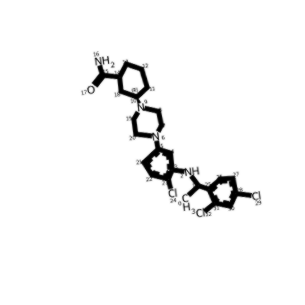 CC(Nc1cc(N2CCN([C@@H]3CCCC(C(N)=O)C3)CC2)ccc1Cl)c1ccc(Cl)cc1Cl